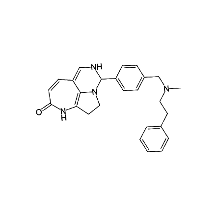 CN(CCc1ccccc1)Cc1ccc(C2NC=C3C=CC(=O)NC4=C3N2CC4)cc1